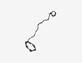 O=[C]CCCCCCCCc1ccccc1